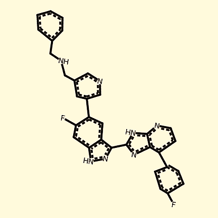 Fc1ccc(-c2ccnc3[nH]c(-c4n[nH]c5cc(F)c(-c6cncc(CNCc7ccccc7)c6)cc45)nc23)cc1